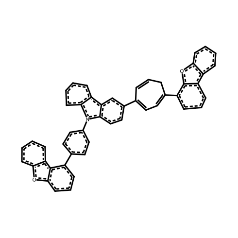 C1=CC(c2ccc3c(c2)c2ccccc2n3-c2ccc(-c3cccc4oc5ccccc5c34)cc2)=CC=C(c2cccc3c2oc2ccccc23)C1